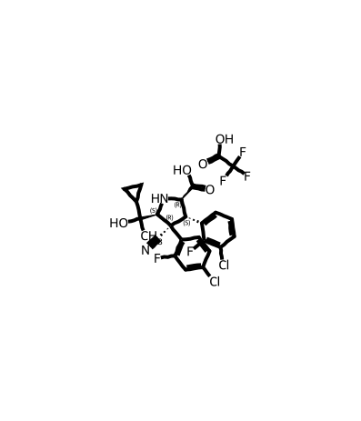 CC(O)(C1CC1)[C@H]1N[C@@H](C(=O)O)[C@H](c2cccc(Cl)c2F)[C@@]1(C#N)c1ccc(Cl)cc1F.O=C(O)C(F)(F)F